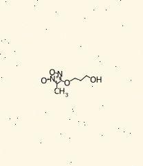 Cc1c(OCCCO)no[n+]1[O-]